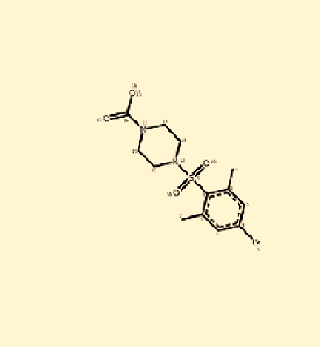 Cc1cc(Br)cc(C)c1S(=O)(=O)N1CCN(C(=O)O)CC1